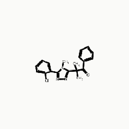 Cn1c(-c2ccccc2Cl)nnc1C(C)(C)C(=O)c1ccccc1